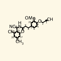 C#CCOc1ccc(CCC(=O)NC(C#N)c2ccc(C)cc2Cl)cc1OC